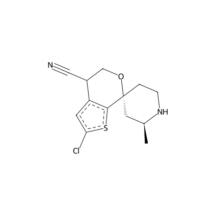 C[C@H]1C[C@@]2(CCN1)OCC(C#N)c1cc(Cl)sc12